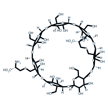 N[C@H](CSCC1O[C@@H]2O[C@@H]3C(CO)O[C@@H](O[C@@H]4C(CO)O[C@@H](O[C@@H]5C(CSC[C@@H](N)C(=O)O)O[C@@H](O[C@@H]6C(CO)O[C@H](O[C@@H]7C(CO)O[C@H](O[C@@H]8C(CO)O[C@@H](O[C@H]1[C@H](O)C2O)C(O)[C@H]8O)C(O)[C@H]7O)C(O)[C@H]6O)C(O)[C@H]5O)C(O)[C@H]4O)C(O)[C@H]3O)C(=O)O